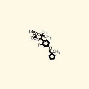 CC1(COc2ccc(C(NC(=O)OC(C)(C)C)C(C)(C)O)c(F)c2)CCCC1